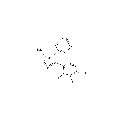 Nc1onc(-c2ccc(F)c(F)c2F)c1-c1ccncc1